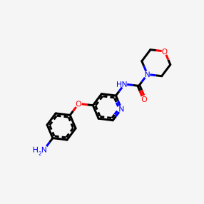 Nc1ccc(Oc2ccnc(NC(=O)N3CCOCC3)c2)cc1